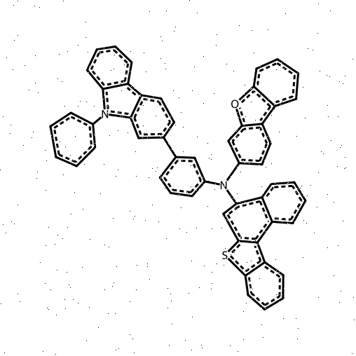 c1ccc(-n2c3ccccc3c3ccc(-c4cccc(N(c5ccc6c(c5)oc5ccccc56)c5cc6sc7ccccc7c6c6ccccc56)c4)cc32)cc1